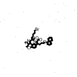 CCc1c(-c2c(Cl)ccc3c(CCCOc4cccc5ccccc45)c(C(=O)O)n(CC)c23)c(CCCCCCBr)nn1C